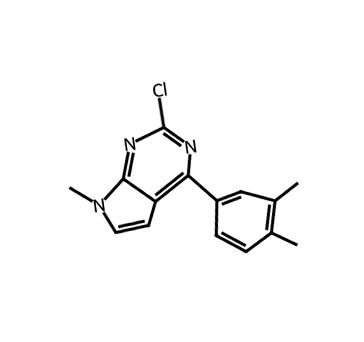 Cc1ccc(-c2nc(Cl)nc3c2ccn3C)cc1C